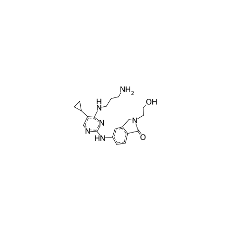 NCCCNc1nc(Nc2ccc3c(c2)CN(CCO)C3=O)ncc1C1CC1